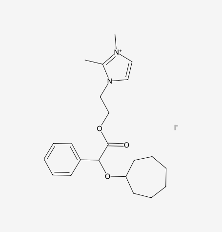 Cc1n(CCOC(=O)C(OC2CCCCCC2)c2ccccc2)cc[n+]1C.[I-]